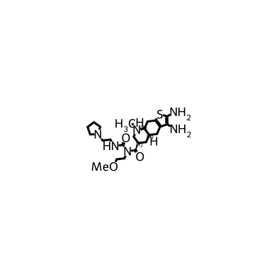 COCCN(C(=O)NCCN1CCCC1)C(=O)[C@@H]1C[C@@H]2Cc3c(sc(N)c3N)C[C@H]2N(C)C1